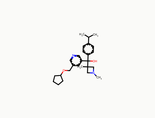 CC(C)c1ccc(C(O)(c2cncc(COC3CCCC3)c2)C2(C)CN(C)C2)cc1